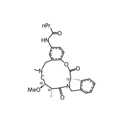 CCCC(=O)Nc1ccc2c(c1)CN(C)C[C@H](OC)[C@@H](C)C(=O)N(Cc1ccccc1)[C@@H](C)C(=O)O2